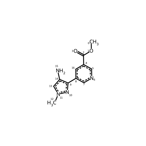 COC(=O)c1cncc(-c2nn(C)cc2N)c1